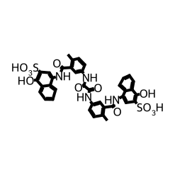 Cc1ccc(NC(=O)C(=O)Nc2ccc(C)c(C(=O)Nc3cc(S(=O)(=O)O)c(O)c4ccccc34)c2)cc1C(=O)Nc1cc(S(=O)(=O)O)c(O)c2ccccc12